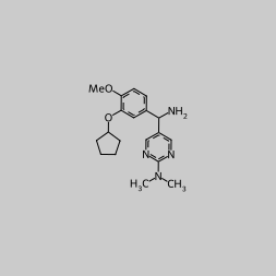 COc1ccc(C(N)c2cnc(N(C)C)nc2)cc1OC1CCCC1